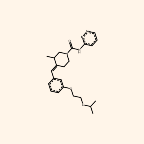 CC(C)OCCOc1cccc(/C=C2\CCN(C(=O)Nc3cccnn3)CC2C)c1